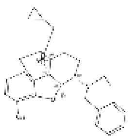 CCN(Cc1ccccc1)[C@H]1CC[C@]2(O)C3Cc4ccc(O)c5c4[C@]2(CCN3CC2CC2)[C@@H]1O5